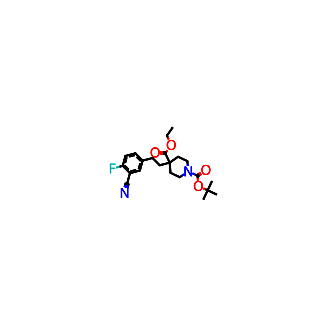 CCOC(=O)C1(CCc2ccc(F)c(C#N)c2)CCN(C(=O)OC(C)(C)C)CC1